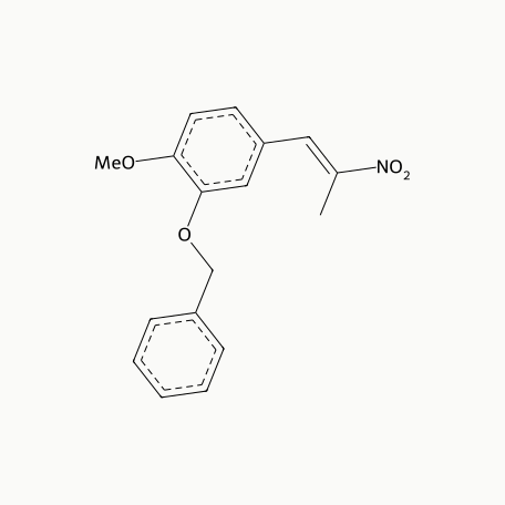 COc1ccc(C=C(C)[N+](=O)[O-])cc1OCc1ccccc1